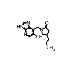 CCCC1CC(=O)N(Cc2c(C)cnc3[nH]cnc23)C1